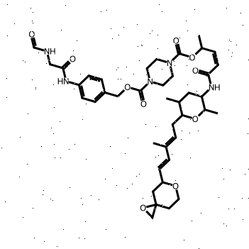 CC(/C=C/C1CC2(CCO1)CO2)=C\CC1OC(C)C(NC(=O)/C=C\C(C)OC(=O)N2CCN(C(=O)OCc3ccc(NC(=O)CNC=O)cc3)CC2)CC1C